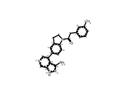 Cc1cccc(CC(=O)N2CCc3cc(-c4cncc5[nH]nc(N)c45)ccc32)c1